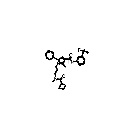 Cc1c(C(=O)Nc2cccc(C(F)(F)F)c2)cc(-c2ccccc2)n1CCCN(C)C(=O)C1CCC1